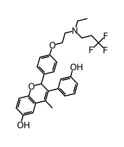 CCN(CCOc1ccc(C2Oc3ccc(O)cc3C(C)=C2c2cccc(O)c2)cc1)CCC(F)(F)F